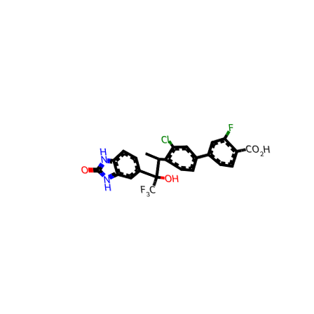 CC(c1ccc(-c2ccc(C(=O)O)c(F)c2)cc1Cl)C(O)(c1ccc2[nH]c(=O)[nH]c2c1)C(F)(F)F